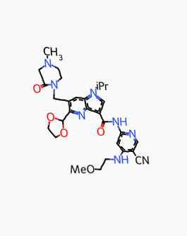 COCCNc1cc(NC(=O)c2cn(C(C)C)c3cc(CN4CCN(C)CC4=O)c(C4OCCO4)nc23)ncc1C#N